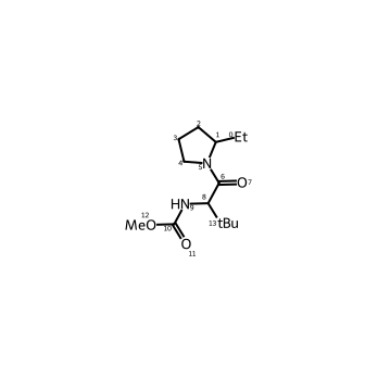 CCC1CCCN1C(=O)C(NC(=O)OC)C(C)(C)C